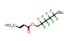 CC(C)(C)C(F)(F)C(F)(F)C(F)(F)C(F)(F)COC(=O)C=CC(=O)O